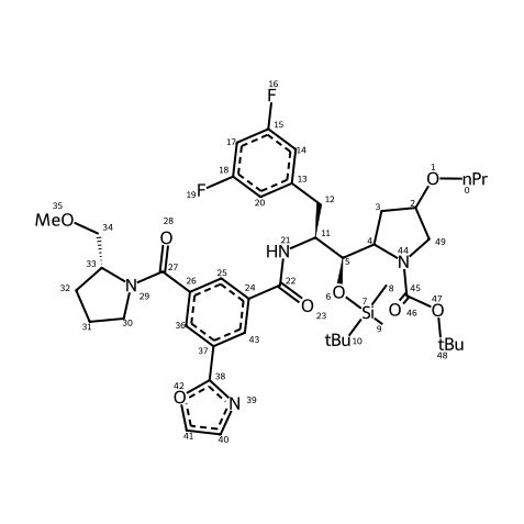 CCCOC1CC([C@@H](O[Si](C)(C)C(C)(C)C)[C@H](Cc2cc(F)cc(F)c2)NC(=O)c2cc(C(=O)N3CCC[C@@H]3COC)cc(-c3ncco3)c2)N(C(=O)OC(C)(C)C)C1